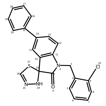 O=C1N(Cc2ccccc2Cl)c2ccc(-c3ccccc3)cc2C12NN=CS2